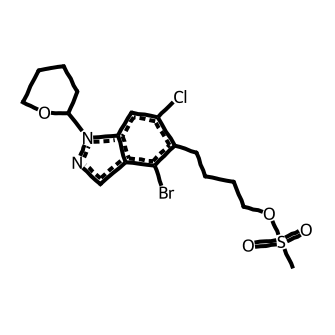 CS(=O)(=O)OCCCCc1c(Cl)cc2c(cnn2C2CCCCO2)c1Br